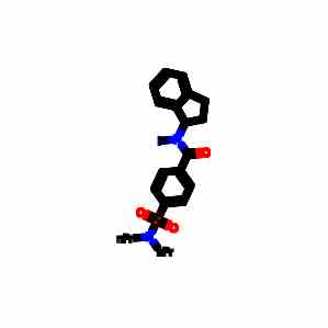 CCCN(CCC)S(=O)(=O)c1ccc(C(=O)N(I)C2CCc3ccccc32)cc1